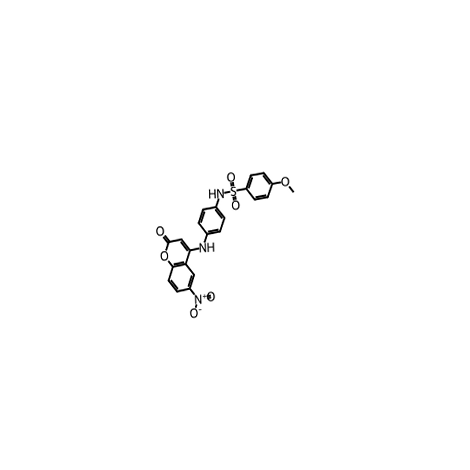 COc1ccc(S(=O)(=O)Nc2ccc(Nc3cc(=O)oc4ccc([N+](=O)[O-])cc34)cc2)cc1